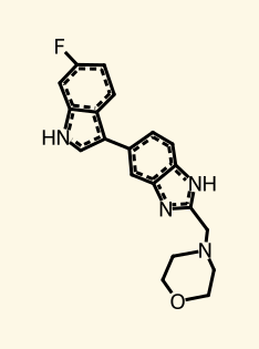 Fc1ccc2c(-c3ccc4[nH]c(CN5CCOCC5)nc4c3)c[nH]c2c1